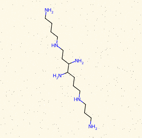 NCCCCNCCC(N)C(N)CCCNCCCN